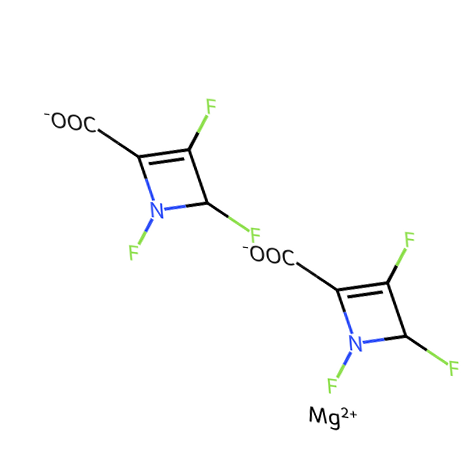 O=C([O-])C1=C(F)C(F)N1F.O=C([O-])C1=C(F)C(F)N1F.[Mg+2]